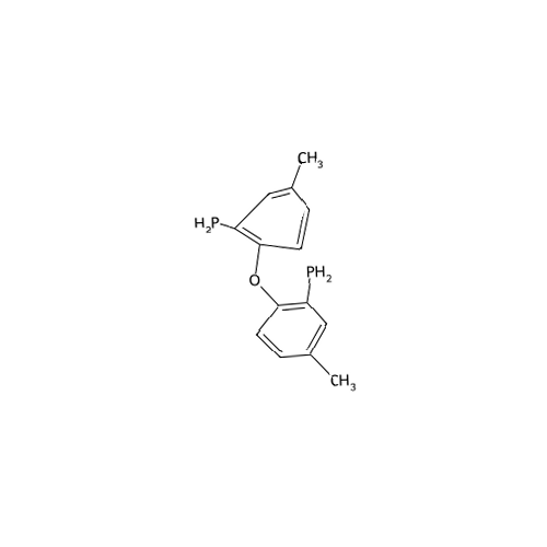 Cc1ccc(Oc2ccc(C)cc2P)c(P)c1